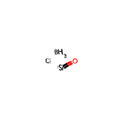 B.O=[Si].[C]